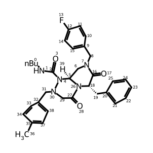 CCCCNC(=O)N1[C@H]2CN(Cc3ccc(F)cc3)C(=O)[C@H](Cc3ccccc3)N2C(=O)CN1Cc1ccc(C)cc1